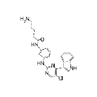 NCCCCC(=O)Nc1cccc(Nc2ncc(Cl)c(-c3c[nH]c4ccccc34)n2)c1